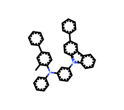 Cc1cc(-c2ccccc2)ccc1N(c1ccccc1)c1cccc(-n2c3ccccc3c3cc(-c4ccccc4)ccc32)c1